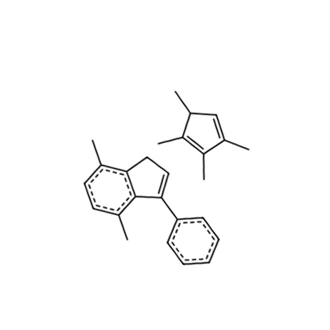 CC1=CC(C)C(C)=C1C.Cc1ccc(C)c2c1CC=C2c1ccccc1